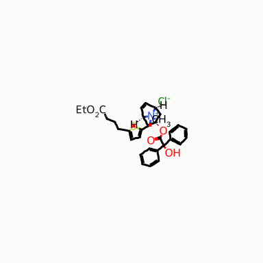 CCOC(=O)CCCc1ccc(C[N+]2(C)[C@@H]3C=C[C@H]2C[C@H](OC(=O)C(O)(c2ccccc2)c2ccccc2)C3)s1.[Cl-]